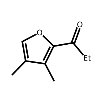 CCC(=O)c1occ(C)c1C